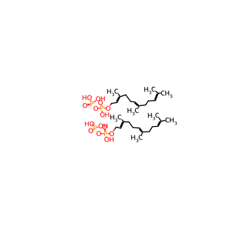 CC(C)=CCCC(C)=CCCC(C)=CCOP(=O)(O)OP(=O)(O)O.CC(C)=CCCC(C)=CCCC(C)=CCOP(=O)(O)OP(=O)(O)O